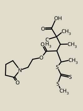 CSC(=S)SC(C)C(C(=O)OCCN1CCCC1=O)C(C)C(C)(C)C(=O)O